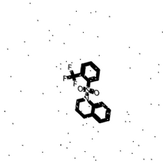 O=S(=O)(c1ccccc1C(F)(F)F)N1CCCc2ccccc21